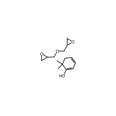 C(OCC1CO1)C1CO1.CC1(C)CC=CC=C1O